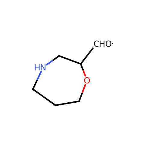 O=[C]C1CNCCCO1